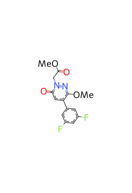 COC(=O)Cn1nc(OC)c(-c2cc(F)cc(F)c2)cc1=O